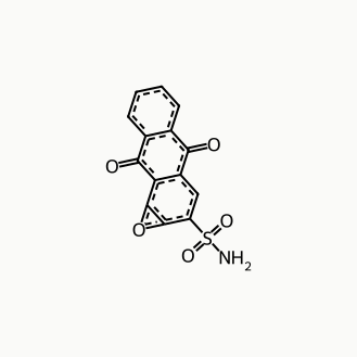 NS(=O)(=O)c1cc2c(=O)c3ccccc3c(=O)c2c2oc12